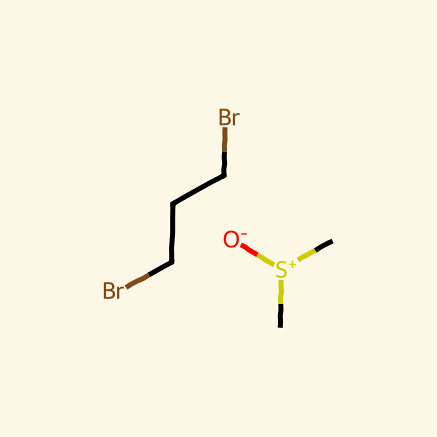 BrCCCBr.C[S+](C)[O-]